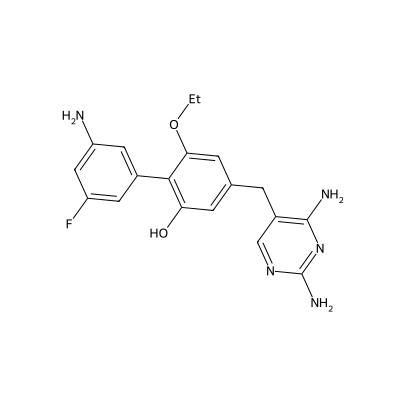 CCOc1cc(Cc2cnc(N)nc2N)cc(O)c1-c1cc(N)cc(F)c1